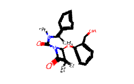 CCCN(C(=O)N1C(=O)C(CC)(CC)[C@@H]1Oc1ccccc1CO)[C@H](C)c1ccccc1